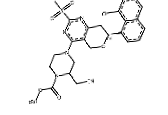 CC(C)(C)OC(=O)N1CCN(c2nc(S(C)(=O)=O)nc3c2CO[C@H](c2cccc4cccc(Cl)c24)C3)CC1CC#N